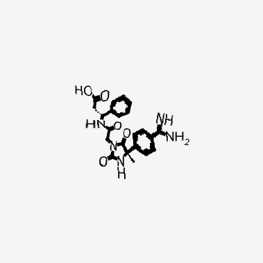 C[C@@]1(c2ccc(C(=N)N)cc2)NC(=O)N(CC(=O)N[C@H](CC(=O)O)c2ccccc2)C1=O